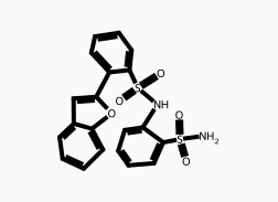 NS(=O)(=O)c1ccccc1NS(=O)(=O)c1ccccc1-c1cc2ccccc2o1